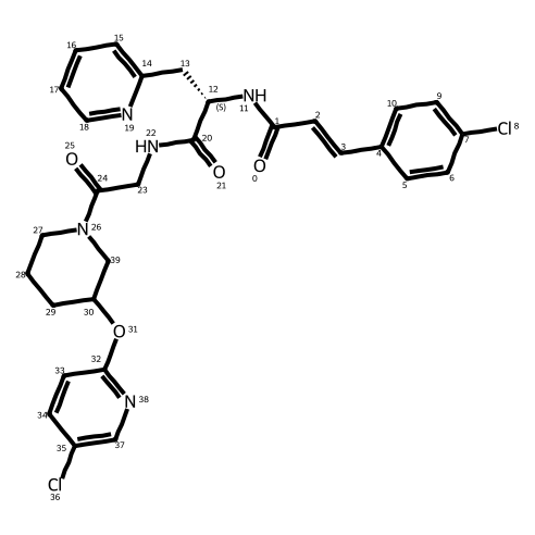 O=C(C=Cc1ccc(Cl)cc1)N[C@@H](Cc1ccccn1)C(=O)NCC(=O)N1CCCC(Oc2ccc(Cl)cn2)C1